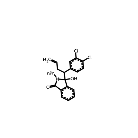 C=CCC(c1ccc(Cl)c(Cl)c1)C1(O)c2ccccc2C(=O)N1CCC